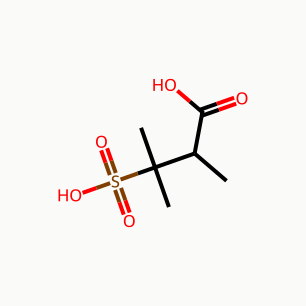 CC(C(=O)O)C(C)(C)S(=O)(=O)O